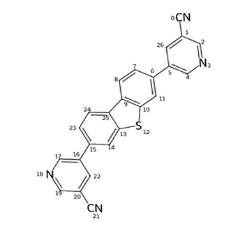 N#Cc1cncc(-c2ccc3c(c2)sc2cc(-c4cncc(C#N)c4)ccc23)c1